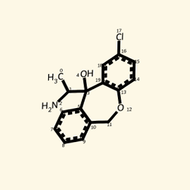 CC(N)C1(O)c2ccccc2COc2ccc(Cl)cc21